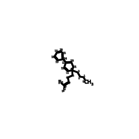 CCCCC1(CCC=C(F)F)C=CC(c2ccccc2)=CC1